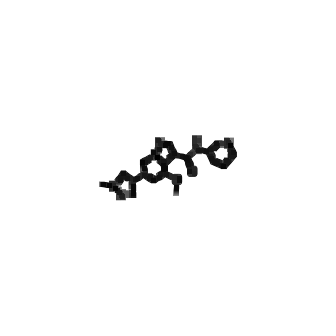 COc1cc(-c2cnn(C)c2)cn2ncc(C(=O)Nc3cccnc3)c12